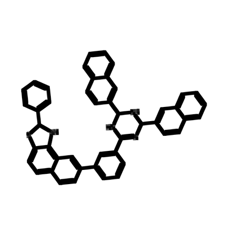 c1ccc(C2Nc3c(ccc4ccc(-c5cccc(C6=NC(c7ccc8ccccc8c7)NC(c7ccc8ccccc8c7)N6)c5)cc34)S2)cc1